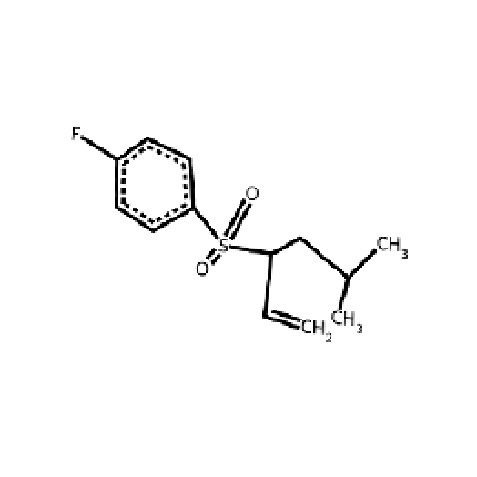 C=CC(CC(C)C)S(=O)(=O)c1ccc(F)cc1